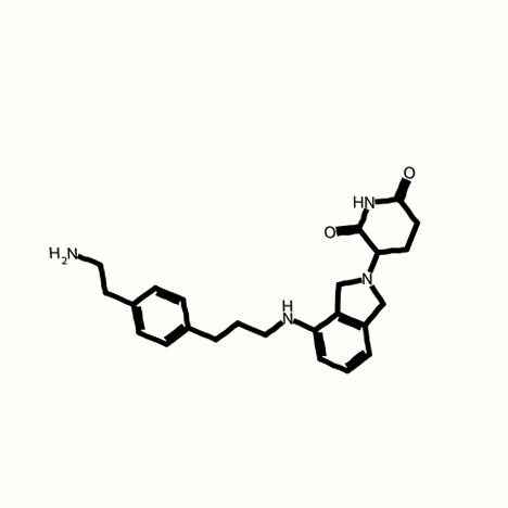 NCCc1ccc(CCCNc2cccc3c2CN(C2CCC(=O)NC2=O)C3)cc1